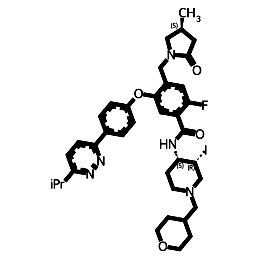 CC(C)c1ccc(-c2ccc(Oc3cc(C(=O)N[C@H]4CCN(CC5CCOCC5)C[C@H]4I)c(F)cc3CN3C[C@@H](C)CC3=O)cc2)nn1